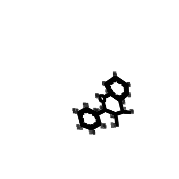 CC1c2ccccc2OC(c2ccccc2)C1C